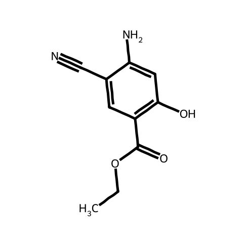 CCOC(=O)c1cc(C#N)c(N)cc1O